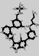 CCCC(O)Nc1cncc(-c2cnc3[nH]nc(-c4nc5c(-c6cc(F)cc(CNS(C)(=O)=O)c6)ccnc5[nH]4)c3c2F)c1